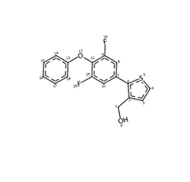 OCc1ccsc1-c1cc(F)c(Oc2ccccc2)c(F)c1